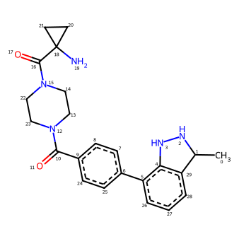 CC1NNc2c(-c3ccc(C(=O)N4CCN(C(=O)C5(N)CC5)CC4)cc3)cccc21